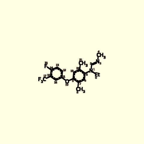 CCN(C=NC)c1cc(C)c(Oc2ccc(F)c(C(F)(F)F)c2)cc1C